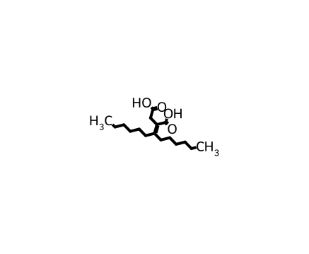 CCCCCCC(CCCCCC)=C(CC(=O)O)C(=O)O